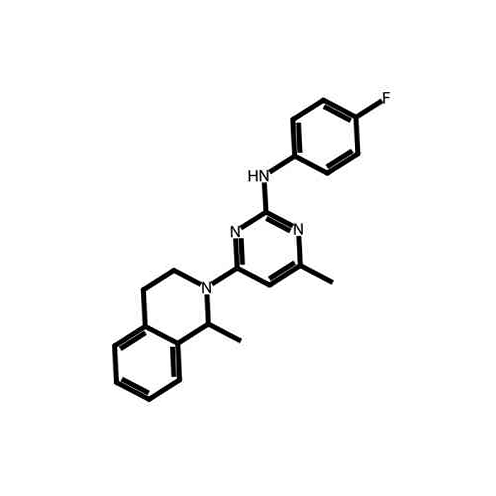 Cc1cc(N2CCc3ccccc3C2C)nc(Nc2ccc(F)cc2)n1